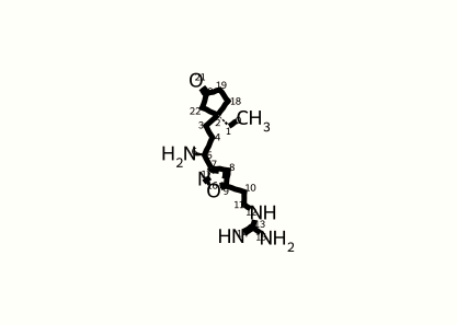 CC[C@@]1(CC[C@H](N)c2cc(CCNC(=N)N)on2)CCC(=O)C1